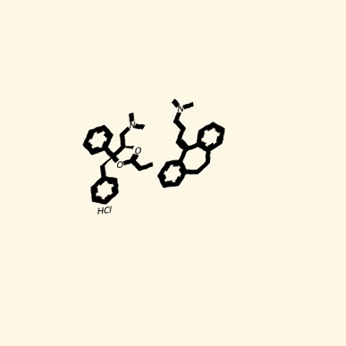 CCC(=O)O[C@](Cc1ccccc1)(c1ccccc1)[C@H](C)CN(C)C.CN(C)CCC=C1c2ccccc2CCc2ccccc21.Cl